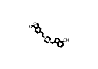 N#Cc1cccc2c1CCC2CN1CCN(CCc2ccc3c(c2)COC3=O)CC1